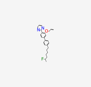 C=CCOc1cc(-c2ccc(CCCCCC(C)F)cc2)ccc1-c1ncccn1